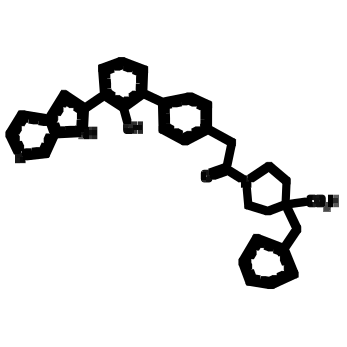 O=C(Cc1ccc(-c2cccc(-c3cc4ccncc4[nH]3)c2O)cc1)N1CCC(Cc2ccccc2)(C(=O)O)CC1